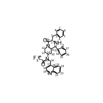 N[C@H](Cc1ccccc1)C(=O)N1CCC(N(Cc2ccnc3ccccc23)C(=O)C(F)(F)F)CC1Cc1ccccc1